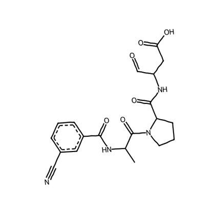 CC(NC(=O)c1cccc(C#N)c1)C(=O)N1CCCC1C(=O)NC(C=O)CC(=O)O